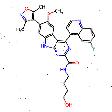 COc1cc2c(cc1-c1c(C)noc1C)[nH]c1nc(C(=O)NCCCCO)nc(-c3ccnc4ccc(F)cc34)c12